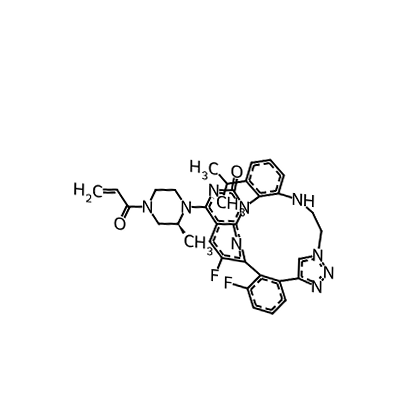 C=CC(=O)N1CCN(c2nc(=O)n3c4nc(c(F)cc24)-c2c(F)cccc2-c2cn(nn2)CCNc2cccc(C(C)C)c2-3)[C@@H](C)C1